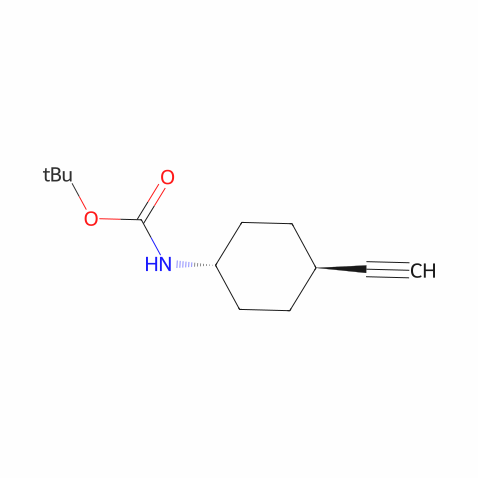 C#C[C@H]1CC[C@H](NC(=O)OC(C)(C)C)CC1